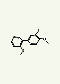 COc1ccc(-c2[c]cccc2SC)cc1F